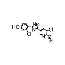 CC(C)OC1N=CC(c2nc(-c3ccc(O)cc3Cl)no2)=CC1Cl